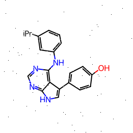 CC(C)c1cccc(Nc2ncnc3[nH]cc(-c4ccc(O)cc4)c23)c1